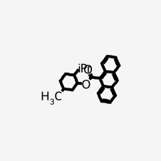 CC1CCC(C(C)C)C(OC(=O)c2c3ccccc3cc3ccccc23)C1